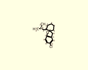 CN(C)CC1CCCCC12Cc1cc(Cl)ccc1O2